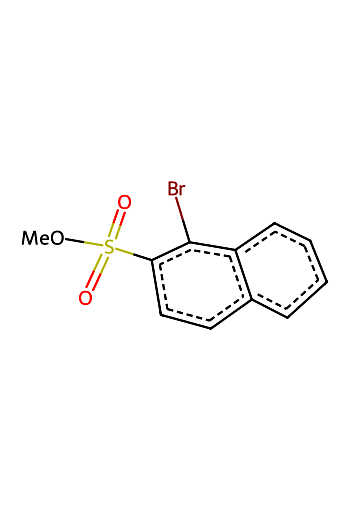 COS(=O)(=O)c1ccc2ccccc2c1Br